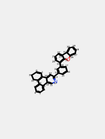 C1=Cc2c(c3ccccc3c3cnc(-c4cccc(-c5cccc6c5oc5ccccc56)c4)cc23)CC1